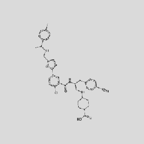 Cc1ccc(C(C)NCc2ccc(-c3ccc(Cl)c(C(=O)NC(CNC4CCN(C(=O)O)CC4)Cc4ccc(C#N)cc4)c3)o2)cc1